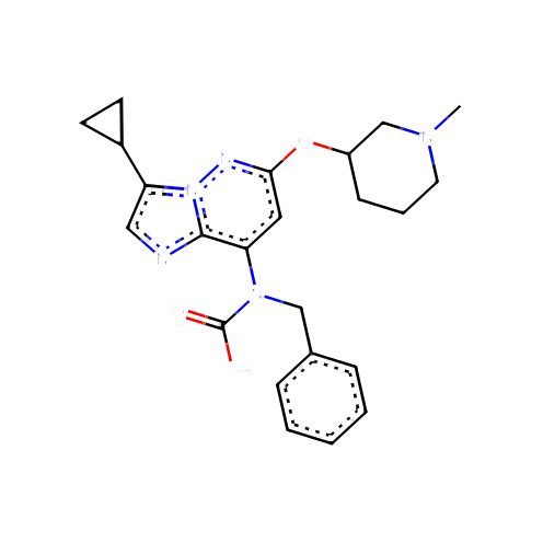 CN1CCCC(Oc2cc(N(Cc3ccccc3)C(=O)O)c3ncc(C4CC4)n3n2)C1